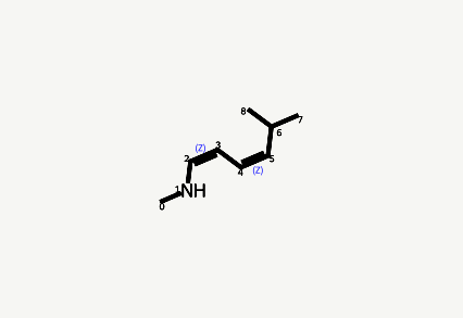 CN/C=C\C=C/C(C)C